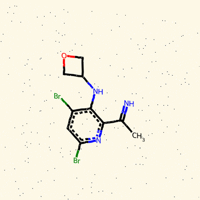 CC(=N)c1nc(Br)cc(Br)c1NC1COC1